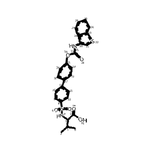 CC(C)C(NS(=O)(=O)c1ccc(-c2ccc(OC(=O)Nc3csc4ccccc34)cc2)cc1)C(=O)O